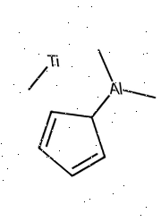 [CH3][Al]([CH3])[CH]1C=CC=C1.[CH3][Ti]